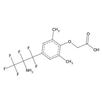 Cc1cc(C(F)(F)C(N)(F)C(F)(F)F)cc(C)c1OCC(=O)O